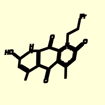 CC1=CC(O)NC2=C1C(=O)c1c(C)cc(=O)n(CCC(C)C)c1C2=O